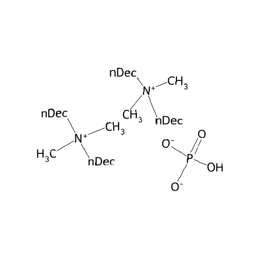 CCCCCCCCCC[N+](C)(C)CCCCCCCCCC.CCCCCCCCCC[N+](C)(C)CCCCCCCCCC.O=P([O-])([O-])O